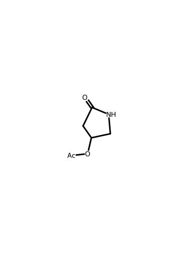 CC(=O)OC1CNC(=O)C1